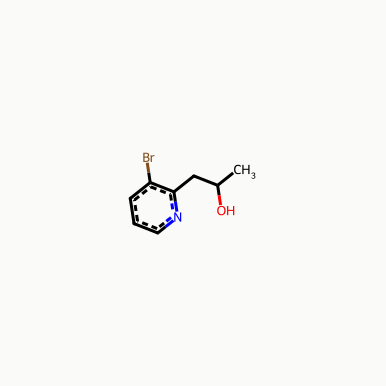 CC(O)Cc1ncccc1Br